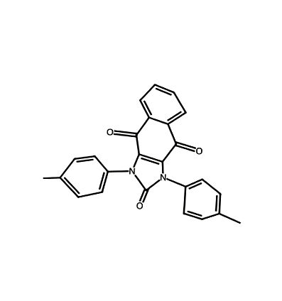 Cc1ccc(-n2c3c(n(-c4ccc(C)cc4)c2=O)C(=O)c2ccccc2C3=O)cc1